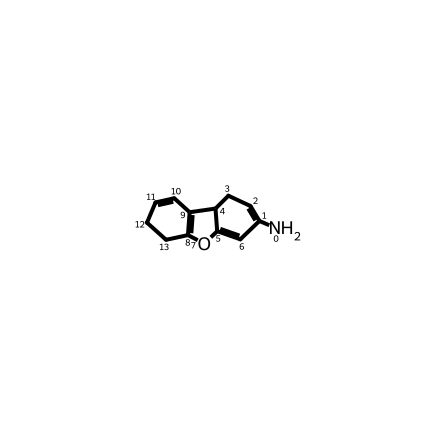 NC1=CCC2C(=C1)OC1=C2C=CCC1